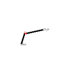 CCCCCCCCC=CCCCCCCCCCC(=O)OCCCCCCCCCCCCCCCCCCC(=O)O